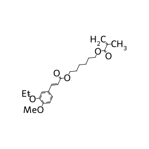 C=C(C)C(=O)OCCCCCCOC(=O)/C=C/c1ccc(OC)c(OCC)c1